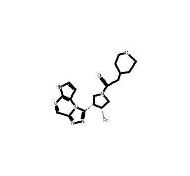 CC[C@H]1CN(C(=O)CC2CCOCC2)C[C@H]1c1nnc2cnc3[nH]ccc3n12